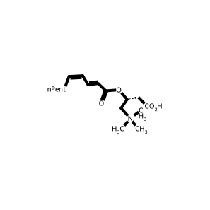 CCCCC/C=C\C=C\C(=O)O[C@H](CC(=O)O)C[N+](C)(C)C